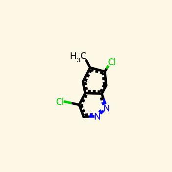 Cc1cc2c(Cl)cnnc2cc1Cl